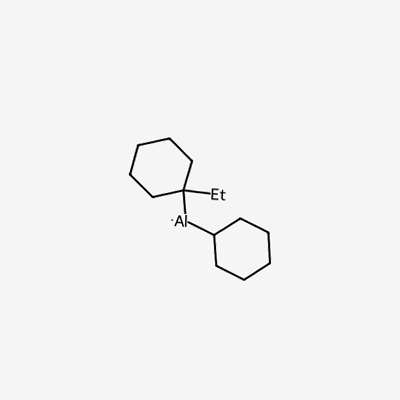 CC[C]1([Al][CH]2CCCCC2)CCCCC1